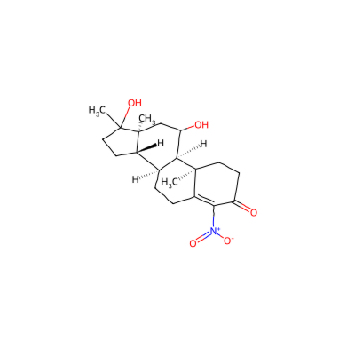 CC1(O)CC[C@H]2[C@@H]3CCC4=C([N+](=O)[O-])C(=O)CC[C@]4(C)[C@@H]3C(O)C[C@@]21C